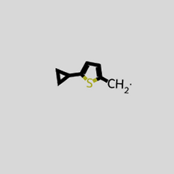 [CH2]c1ccc(C2CC2)s1